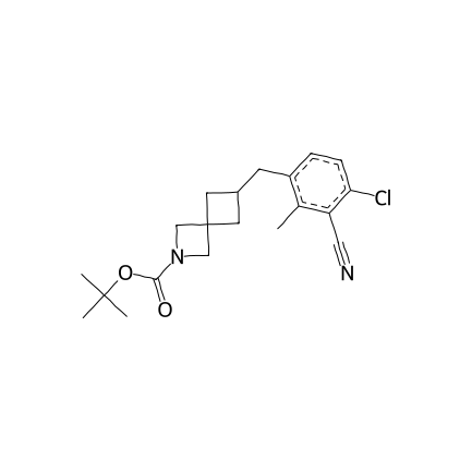 Cc1c(CC2CC3(C2)CN(C(=O)OC(C)(C)C)C3)ccc(Cl)c1C#N